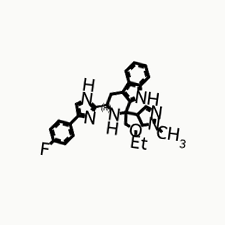 CCOCC1(C2C=NN(C)C2)N[C@@H](c2nc(-c3ccc(F)cc3)c[nH]2)Cc2c1[nH]c1ccccc21